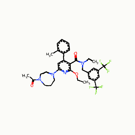 CCOc1nc(N2CCCN(C(C)=O)CC2)cc(-c2ccccc2C)c1C(=O)N(CC)Cc1cc(C(F)(F)F)cc(C(F)(F)F)c1